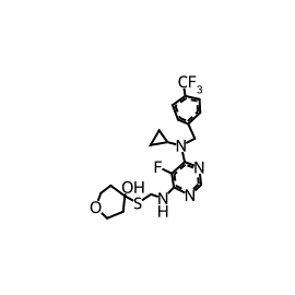 OC1(SCNc2ncnc(N(Cc3ccc(C(F)(F)F)cc3)C3CC3)c2F)CCOCC1